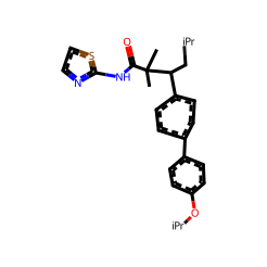 CC(C)CC(c1ccc(-c2ccc(OC(C)C)cc2)cc1)C(C)(C)C(=O)Nc1nccs1